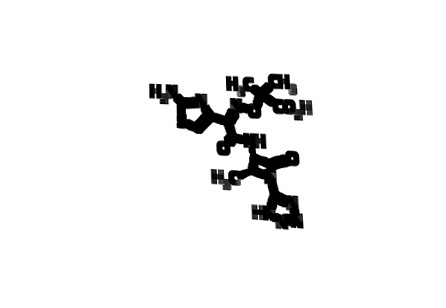 C[C@H]1[C@H](NC(=O)/C(=N\OC(C)(C)C(=O)O)c2csc(N)n2)C(=O)N1c1nnn[nH]1